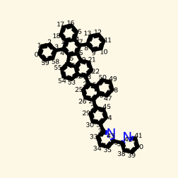 c1ccc(-c2c3c(c(-c4ccccc4)c4ccccc24)-c2ccc(-c4ccc(-c5ccc(-c6cccc(-c7ccccn7)n6)cc5)c5ccccc45)c4cccc-3c24)cc1